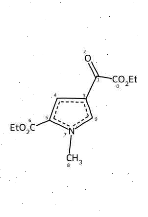 CCOC(=O)C(=O)c1cc(C(=O)OCC)n(C)c1